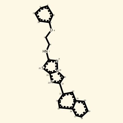 c1ccc(OCCNc2nn3cc(-c4ccc5ccccc5c4)nc3s2)cc1